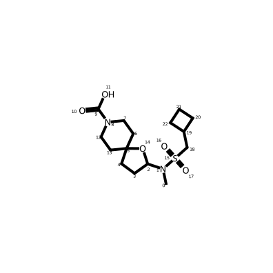 CN(C1CCC2(CCN(C(=O)O)CC2)O1)S(=O)(=O)CC1CCC1